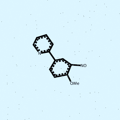 COc1ccc(-c2ccccn2)cc1N=O